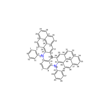 c1ccc(N2c3cccc4c3B(c3cc5ccc6cccc7ccc(c32)c5c67)c2cc3ccc5cccc6ccc(c2N4c2ccccc2)c3c56)cc1